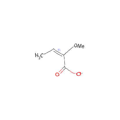 C/C=C(/OC)C([O])=O